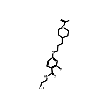 C=C(C)N1CCC(CCCOc2ccc(C(=O)NCCO)c(F)c2)CC1